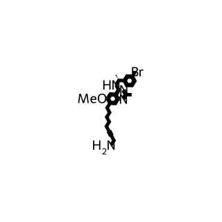 COc1cc2c(N[C@H](C)c3cccc(Br)c3)nc(C)nc2cc1CCCCCC#CCN